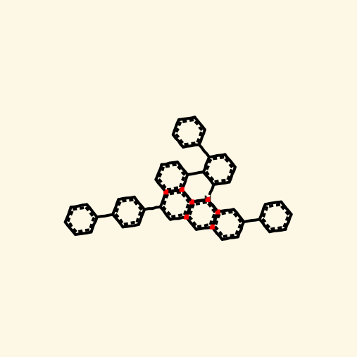 c1ccc(-c2ccc(-c3ccc(N(c4cccc(-c5ccccc5)c4)c4cccc(-c5ccccc5)c4-c4ccccc4-c4ccccc4)cc3)cc2)cc1